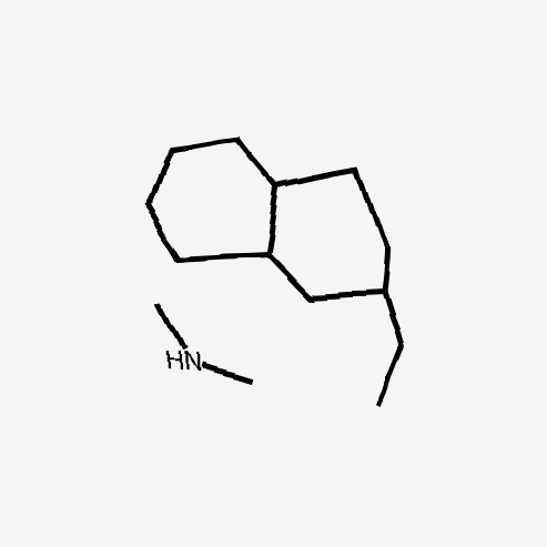 CCC1CCC2CCCCC2C1.CNC